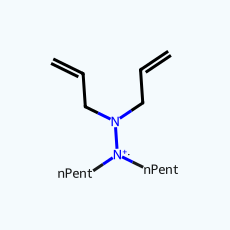 C=CCN(CC=C)[N+](CCCCC)CCCCC